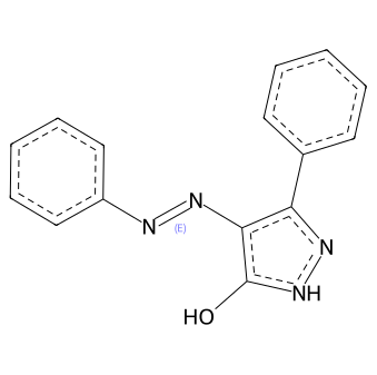 Oc1[nH]nc(-c2ccccc2)c1/N=N/c1ccccc1